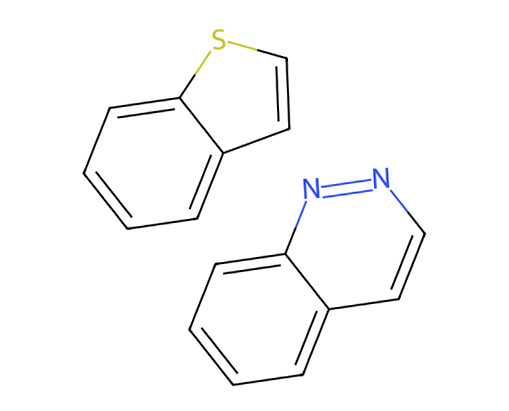 c1ccc2nnccc2c1.c1ccc2sccc2c1